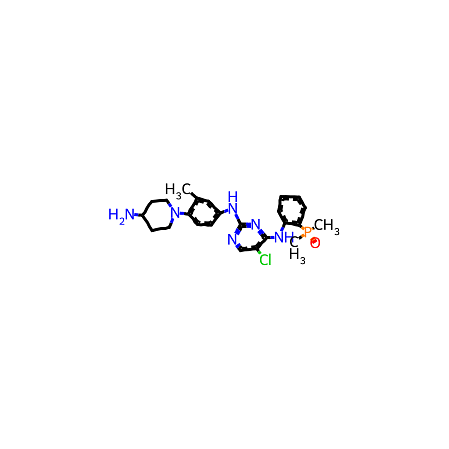 Cc1cc(Nc2ncc(Cl)c(Nc3ccccc3P(C)(C)=O)n2)ccc1N1CCC(N)CC1